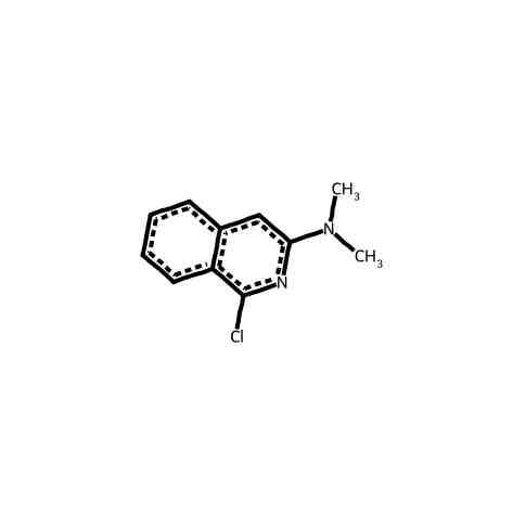 CN(C)c1cc2ccccc2c(Cl)n1